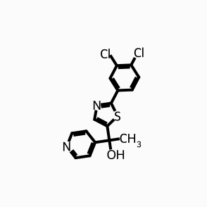 CC(O)(c1ccncc1)c1cnc(-c2ccc(Cl)c(Cl)c2)s1